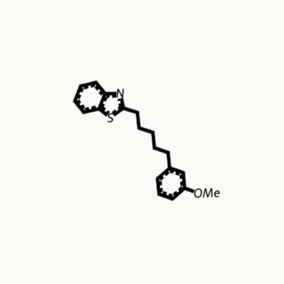 COc1cccc(CCCCCc2nc3ccccc3s2)c1